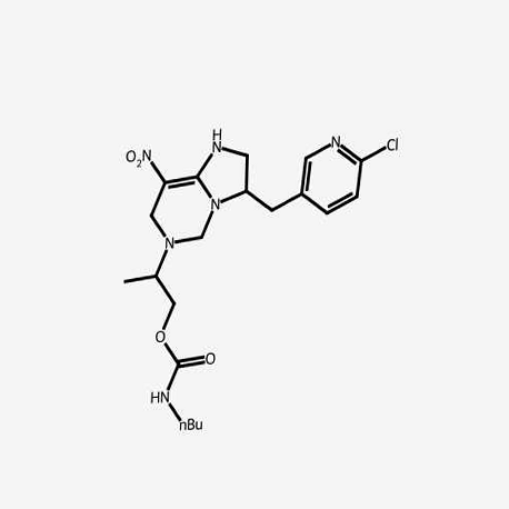 CCCCNC(=O)OCC(C)N1CC([N+](=O)[O-])=C2NCC(Cc3ccc(Cl)nc3)N2C1